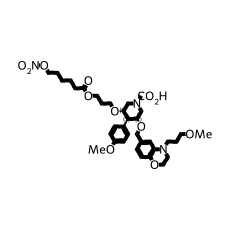 COCCCN1CCOc2ccc(CO[C@H]3CN(C(=O)O)C[C@@H](OCCCOC(=O)CCCCCO[N+](=O)[O-])[C@@H]3c3ccc(OC)cc3)cc21